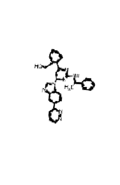 C[C@H](Nc1nc(-c2ccccc2CO)cc(-n2cnc3cc(-c4cccnn4)ccc32)n1)c1ccccc1